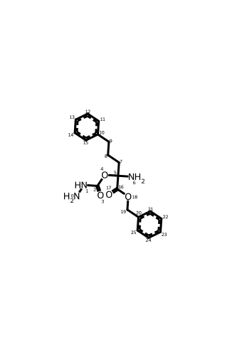 NNC(=O)OC(N)(CCCc1ccccc1)C(=O)OCc1ccccc1